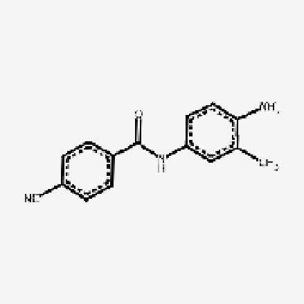 Cc1cc(NC(=O)c2ccc(C#N)cc2)ccc1N